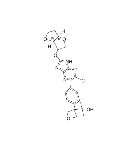 CC(C)(O)C1(c2ccc(-c3nc4nc(OC5CO[C@@H]6CCO[C@H]56)[nH]c4cc3Cl)cc2)COC1